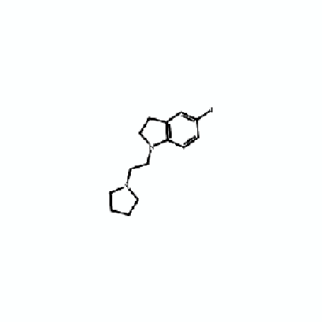 Ic1ccc2c(c1)CCN2CCN1CCCC1